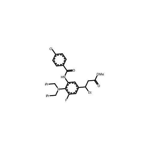 CCC(CC(=O)OC)c1cc(F)c(N(CC(C)C)CC(C)C)c(NC(=O)c2ccc(Cl)cc2)c1